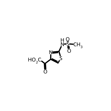 CS(=O)(=O)Nc1nc(C(=O)C(=O)O)cs1